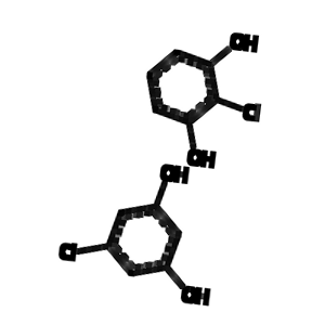 Oc1cc(O)cc(Cl)c1.Oc1cccc(O)c1Cl